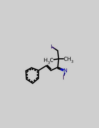 CC(C)(CI)C(/C=C/c1ccccc1)=N/I